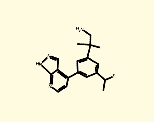 CC(F)c1cc(-c2ccnc3[nH]ncc23)cc(C(C)(C)CN)c1